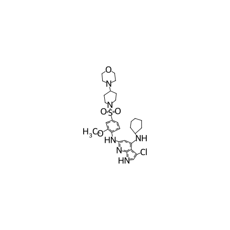 COc1cc(S(=O)(=O)N2CCC(N3CCOCC3)CC2)ccc1Nc1cc(NC2CCCCC2)c2c(Cl)c[nH]c2n1